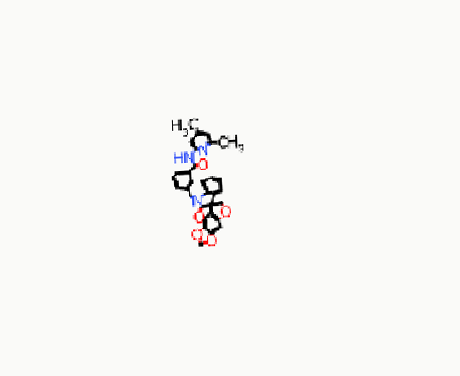 Cc1cc(C)nc(NC(=O)c2cccc(CN3C(=O)C4(COc5cc6c(cc54)OCO6)c4ccccc43)c2)c1